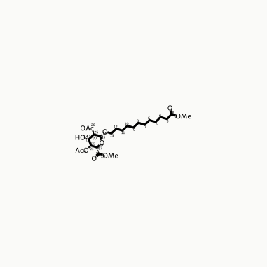 COC(=O)CCCCCCCCCCCO[C@@H]1O[C@H](C(=O)OC)[C@@H](OC(C)=O)[C@H](O)[C@H]1OC(C)=O